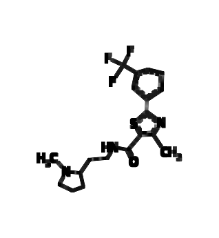 Cc1nc(-c2cccc(C(F)(F)F)c2)sc1C(=O)NCCC1CCCN1C